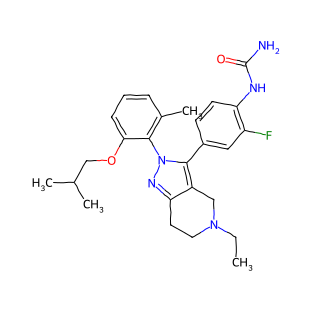 CCN1CCc2nn(-c3c(C)cccc3OCC(C)C)c(-c3ccc(NC(N)=O)c(F)c3)c2C1